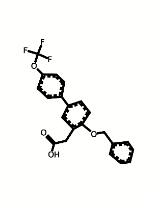 O=C(O)Cc1cc(-c2ccc(OC(F)(F)F)cc2)ccc1OCc1ccccc1